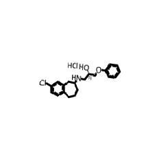 Cl.O[C@@H](CNC1CCCc2ccc(Cl)cc2C1)COc1ccccc1